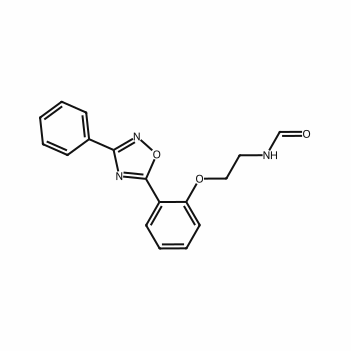 O=CNCCOc1ccccc1-c1nc(-c2ccccc2)no1